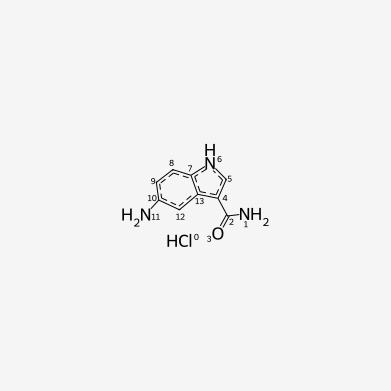 Cl.NC(=O)c1c[nH]c2ccc(N)cc12